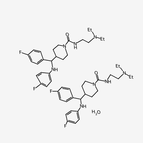 CCN(CC)CCNC(=O)N1CCC(C(Nc2ccc(F)cc2)c2ccc(F)cc2)CC1.CCN(CC)CCNC(=O)N1CCC(C(Nc2ccc(F)cc2)c2ccc(F)cc2)CC1.O